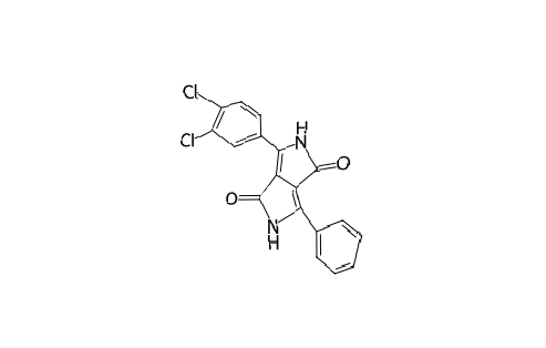 O=C1NC(c2ccc(Cl)c(Cl)c2)=C2C(=O)NC(c3ccccc3)=C12